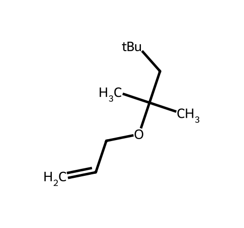 C=CCOC(C)(C)CC(C)(C)C